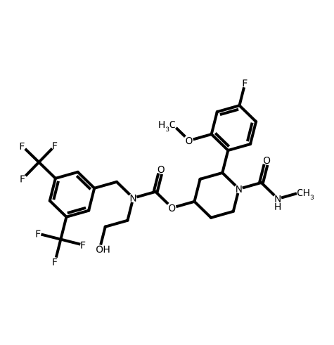 CNC(=O)N1CCC(OC(=O)N(CCO)Cc2cc(C(F)(F)F)cc(C(F)(F)F)c2)CC1c1ccc(F)cc1OC